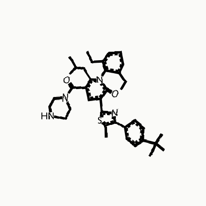 CCc1cccc(CC)c1-n1c(CC(C)C)c(C(=O)N2CCNCC2)cc(-c2nc(-c3ccc(C(C)(C)C)cc3)c(C)s2)c1=O